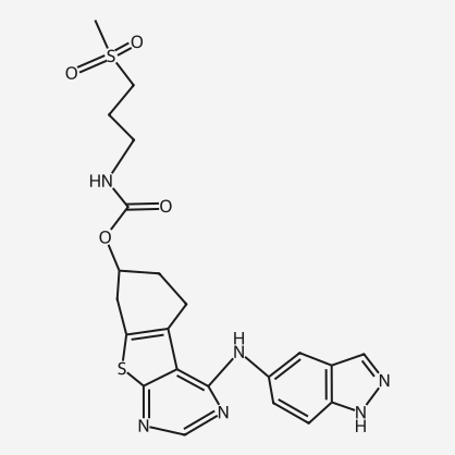 CS(=O)(=O)CCCNC(=O)OC1CCc2c(sc3ncnc(Nc4ccc5[nH]ncc5c4)c23)C1